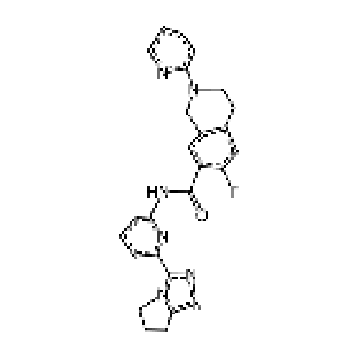 O=C(Nc1cccc(-c2nnc3n2CCC3)n1)c1cc2c(cc1F)CCN(c1ccccn1)C2